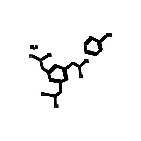 CCN(CC)Cc1cc(CN(CC)CC)cc(CN(CC)CC)c1.Oc1ccccc1.S